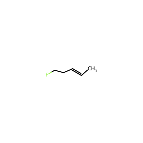 CC=CCCF